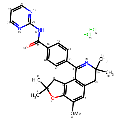 COc1cc2c(c3c1OC(C)(C)C3)C(c1ccc(C(=O)Nc3ncccn3)cc1)=NC(C)(C)C2.Cl.Cl